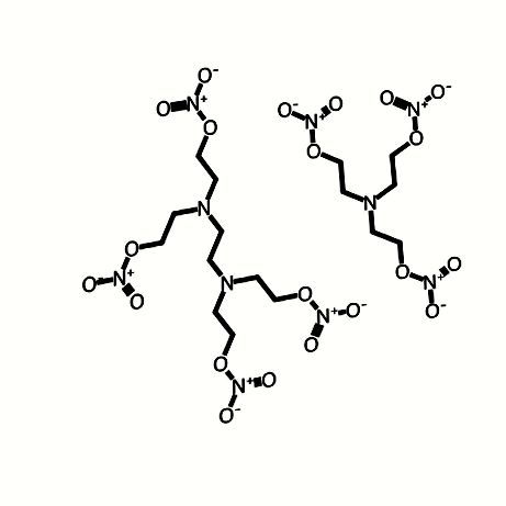 O=[N+]([O-])OCCN(CCO[N+](=O)[O-])CCN(CCO[N+](=O)[O-])CCO[N+](=O)[O-].O=[N+]([O-])OCCN(CCO[N+](=O)[O-])CCO[N+](=O)[O-]